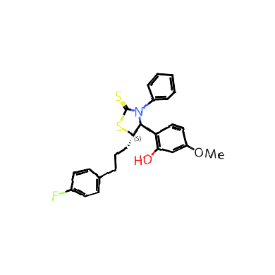 COc1ccc(C2[C@H](CCCc3ccc(F)cc3)SC(=S)N2c2ccccc2)c(O)c1